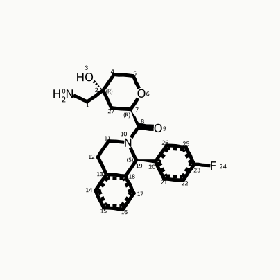 NC[C@@]1(O)CCO[C@@H](C(=O)N2CCc3ccccc3[C@@H]2c2ccc(F)cc2)C1